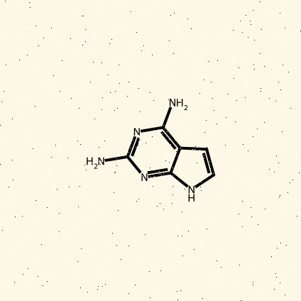 Nc1nc(N)c2cc[nH]c2n1